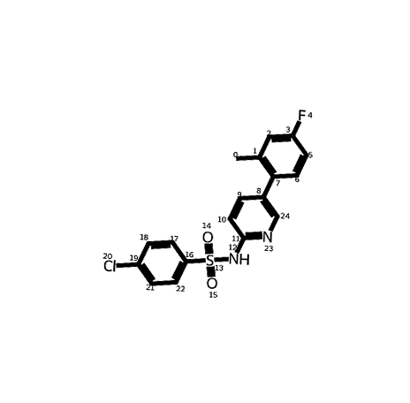 Cc1cc(F)ccc1-c1ccc(NS(=O)(=O)c2ccc(Cl)cc2)nc1